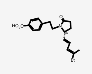 CCC(C)=CC=C[C@H]1CCC(=O)N1CCc1ccc(C(=O)O)cc1